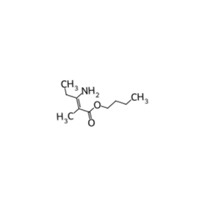 CCCCOC(=O)C(C)=C(N)CC